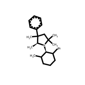 CC(C)C1CCCC(C)[C@H]1N1[C@@H](C)C(C)(c2ccccc2)CC1(C)C